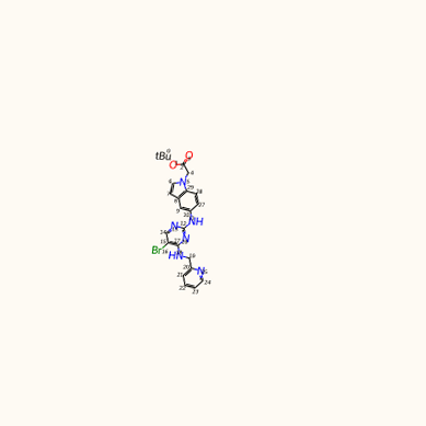 CC(C)(C)OC(=O)Cn1ccc2cc(Nc3ncc(Br)c(NCc4ccccn4)n3)ccc21